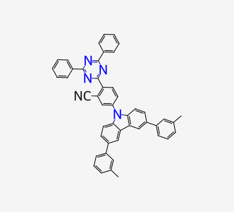 Cc1cccc(-c2ccc3c(c2)c2cc(-c4cccc(C)c4)ccc2n3-c2ccc(-c3nc(-c4ccccc4)nc(-c4ccccc4)n3)c(C#N)c2)c1